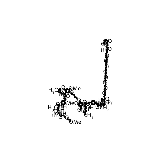 COCCOCCC(=O)N[C@H](C(=O)N[C@@H](C)C(=O)Nc1ccc(COC(=O)N2C[C@@H]3CC(C)=CN3C(=O)c3cc(OC)c(OCCCCCOc4cc5c(cc4OC)C(=O)N4C=C(C)C[C@H]4[C@H](O)N5C(=O)OCc4ccc(NC(=O)[C@H](C)NC(=O)[C@@H](NC(=O)CCOCCOCCOCCOCCOCCOCCOCCOCCNC(=O)CCN5C(=O)C=CC5=O)C(C)C)cc4)cc32)cc1)C(C)C